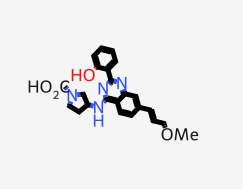 COCC=Cc1ccc2c(NC3CCN(C(=O)O)C3)nc(-c3ccccc3O)nc2c1